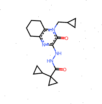 O=C(NNc1nc2c(n(CC3CC3)c1=O)CCCC2)C1(C2CC2)CC1